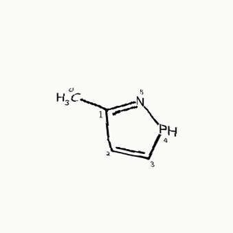 Cc1cc[pH]n1